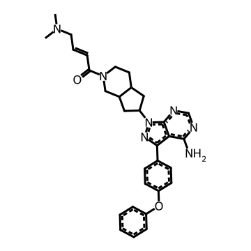 CN(C)C/C=C/C(=O)N1CCC2CC(n3nc(-c4ccc(Oc5ccccc5)cc4)c4c(N)ncnc43)CC2C1